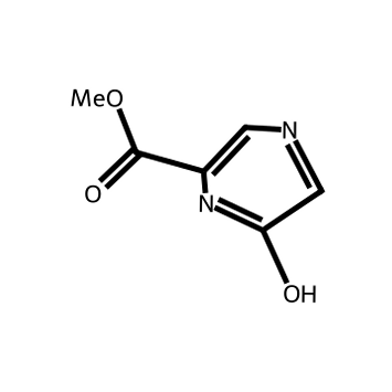 COC(=O)c1cncc(O)n1